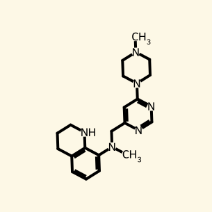 CN1CCN(c2cc(CN(C)c3cccc4c3NCCC4)ncn2)CC1